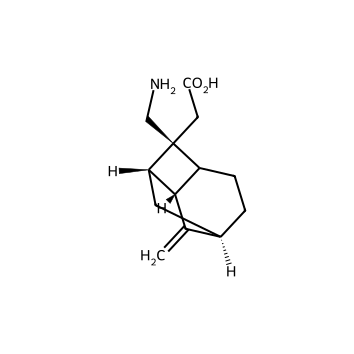 C=C1[C@@H]2CCC3[C@H]1[C@H](C2)[C@]3(CN)CC(=O)O